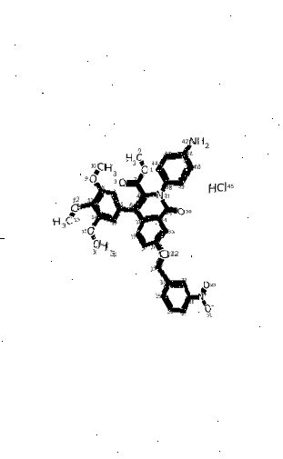 COC(=O)c1c(-c2cc(OC)c(OC)c(OC)c2)c2ccc(OCc3cccc([N+](=O)[O-])c3)cc2c(=O)n1-c1ccc(N)cc1.Cl